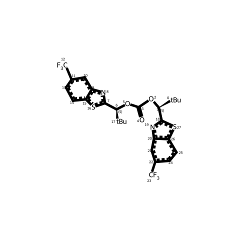 CC(C)(C)[C@H](OC(=O)O[C@H](c1nc2cc(C(F)(F)F)ccc2s1)C(C)(C)C)c1nc2cc(C(F)(F)F)ccc2s1